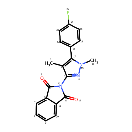 Cc1c(N2C(=O)c3ccccc3C2=O)nn(C)c1-c1ccc(F)cc1